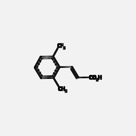 Cc1cccc(C(F)(F)F)c1C=CC(=O)O